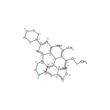 CCOC(=O)C1=C(C)Nc2nc(N3CCOCC3)nc(N3CCOCC3)c2C1c1cccc2nonc12